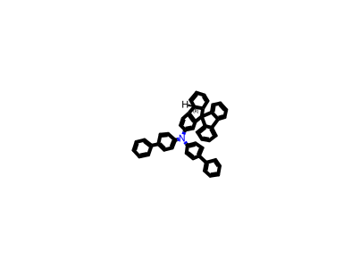 C1=CC2[C@@H](C=C1)c1ccc(N(c3ccc(-c4ccccc4)cc3)c3ccc(-c4ccccc4)cc3)cc1C21c2ccccc2-c2ccccc21